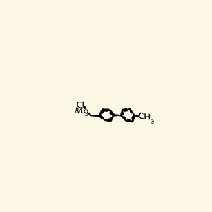 Cc1ccc(-c2ccc([CH2][Mg][Cl])cc2)cc1